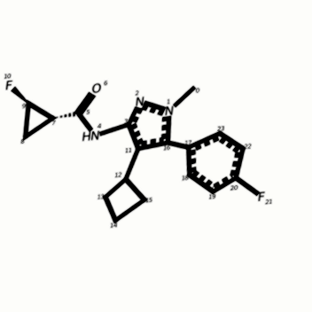 Cn1nc(NC(=O)[C@@H]2C[C@H]2F)c(C2CCC2)c1-c1ccc(F)cc1